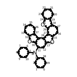 c1ccc(N(c2ccccc2)c2cc3oc4ccc5c6ccccc6oc5c4c3c3c2oc2ccccc23)cc1